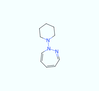 C1=CC=NN(N2CCCCC2)C=C1